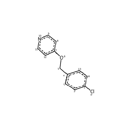 Clc1ccc(COc2ccncc2)cc1